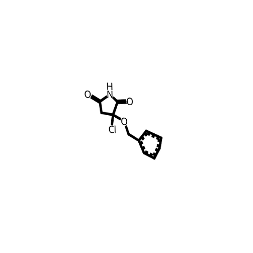 O=C1CC(Cl)(OCc2ccccc2)C(=O)N1